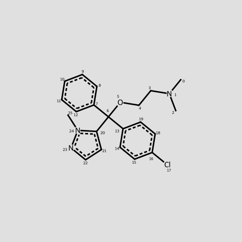 CN(C)CCOC(c1ccccc1)(c1ccc(Cl)cc1)c1ccnn1C